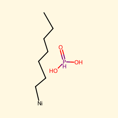 CCCCCC[CH2][Ni].O=[PH](O)O